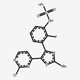 CCCS(=O)(=O)Nc1cccc(-c2nc(C(C)(C)C)sc2-c2ccnc(Cl)n2)c1F